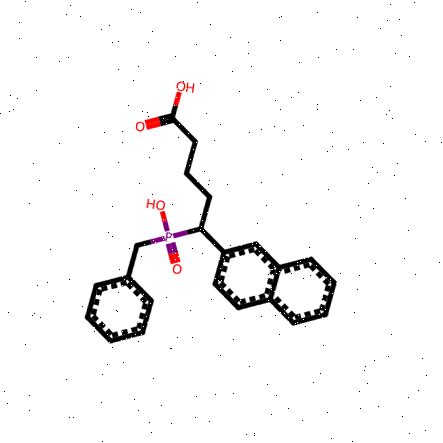 O=C(O)CCCC(c1ccc2ccccc2c1)P(=O)(O)Cc1ccccc1